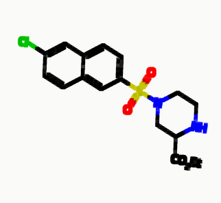 CCOC(=O)C1CN(S(=O)(=O)c2ccc3cc(Cl)ccc3c2)CCN1